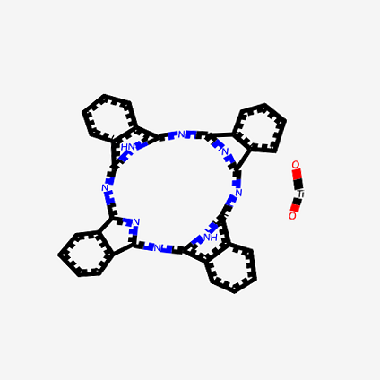 [O]=[Ti]=[O].c1ccc2c(c1)-c1nc-2nc2[nH]c(nc3nc(nc4[nH]c(n1)c1ccccc41)-c1ccccc1-3)c1ccccc21